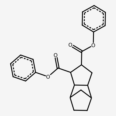 O=C(Oc1ccccc1)C1CC2C3CCC(C3)C2C1C(=O)Oc1ccccc1